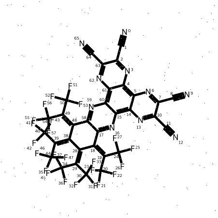 N#Cc1nc2c3nc(C#N)c(C#N)nc3c3nc4c(=C(C(F)(F)F)C(F)(F)F)c(=C(C(F)(F)F)C(F)(F)F)c(=C(C(F)(F)F)C(F)(F)F)c(=C(C(F)(F)F)C(F)(F)F)c4nc3c2nc1C#N